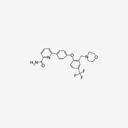 NC(=O)c1cccc(-c2ccc(Oc3ccc(C(F)(F)F)cc3CN3CCOCC3)cc2)n1